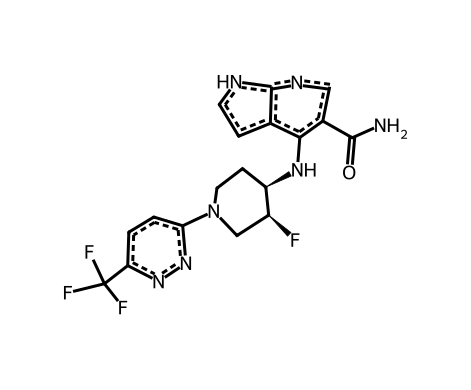 NC(=O)c1cnc2[nH]ccc2c1N[C@@H]1CCN(c2ccc(C(F)(F)F)nn2)C[C@@H]1F